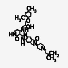 C=C(C)CCN1CCC(N2Cc3cc4[nH]c(-c5c(NC[C@@H](O)COc6ccc(C)cc6C)cc[nH]c5=O)nc4cc3C2=O)CC1